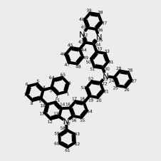 c1ccc(-c2ccccc2-c2ccc3c(c2)c2cc(-c4ccc(N(c5ccccc5)c5ccc(-c6nc7ccccc7nc6-c6ccccc6)cc5)cc4)ccc2n3-c2ccccc2)cc1